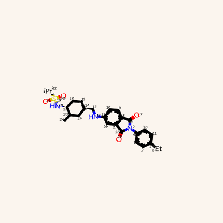 CCc1ccc(N2C(=O)c3ccc(NC[C@@H]4CC[C@@H](NS(=O)(=O)C(C)C)C(C)C4)cc3C2=O)cc1